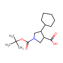 CC(C)(C)OC(=O)N1CC(C(=O)O)C(C2CCCCC2)C1